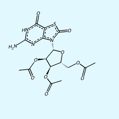 CC(=O)OC[C@H]1O[C@@H](n2c(=O)sc3c(=O)[nH]c(N)nc32)[C@H](OC(C)=O)[C@@H]1OC(C)=O